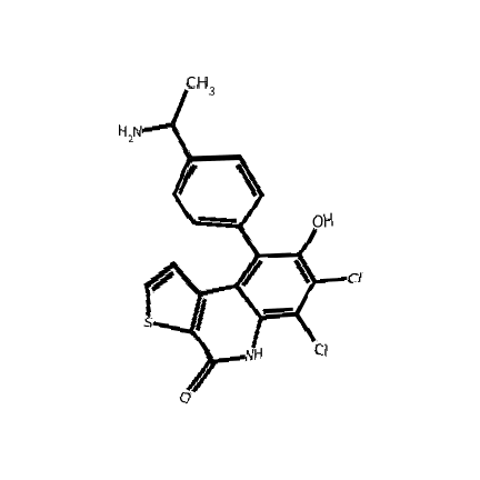 CC(N)c1ccc(-c2c(O)c(Cl)c(Cl)c3[nH]c(=O)c4sccc4c23)cc1